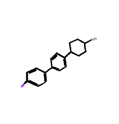 CCCC1CCC(c2ccc(-c3ccc(I)cc3)cc2)CC1